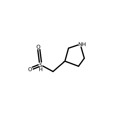 O=[SH](=O)C[C]1CCNC1